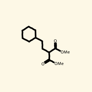 COC(=O)C(CCC1CCCCC1)C(=O)OC